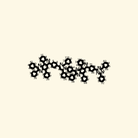 c1ccc(-c2nc(-c3ccc(-c4nc5ccccc5c5c4cc(-c4ccccc4)c4nc(-c6ccccc6)c(-c6ccccc6)nc45)cc3)cc(-c3cccc(-c4cccc(-c5nc6c(-c7ccccc7)cc7c(-c8ccc(-c9nc(-c%10ccccc%10)nc(-c%10ccccc%10)n9)cc8)nc8ccccc8c7c6nc5-c5ccccc5)c4)c3)n2)cc1